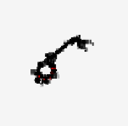 CCCC[C@H](NC(=O)CCC(=O)NCCCOCCOCCOCCCNC(=O)CN1CCN(C(=O)C(CNCCN)CNCCN)CC1)C(=O)N[C@H]1CSCc2cccc(c2)CSCC(C(=O)O)NC(=O)[C@H](CCc2ccccc2)NC(=O)[C@H](CCC(N)=O)NC(=O)[C@H]([C@@H](C)O)NC(=O)[C@@H]2CCCN2C(=O)[C@@H]2CCCN2C1=O